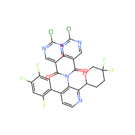 O=C(c1cnc(Cl)nc1)N(C(=O)c1cnc(Cl)nc1)c1c(-c2cc(F)c(F)cc2F)ccnc1C1CCC(F)(F)CO1